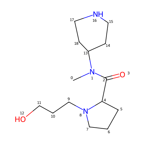 CN(C(=O)C1CCCN1CCCO)C1CCNCC1